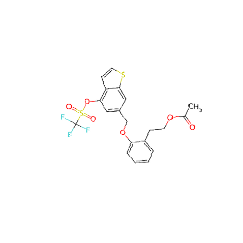 CC(=O)OCCc1ccccc1OCc1cc(OS(=O)(=O)C(F)(F)F)c2ccsc2c1